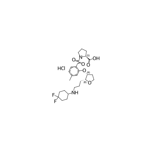 Cc1ccc(S(=O)(=O)N2CCC[C@H]2C(=O)O)c(O[C@@H]2CCO[C@@H]2CCCNC2CCC(F)(F)CC2)c1.Cl